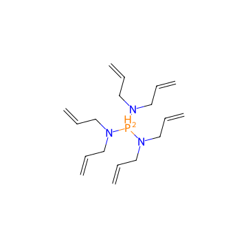 C=CCN(CC=C)[PH2](N(CC=C)CC=C)N(CC=C)CC=C